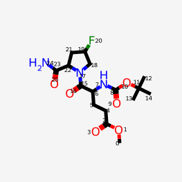 COC(=O)CCC(NC(=O)OC(C)(C)C)C(=O)N1CC(F)CC1C(N)=O